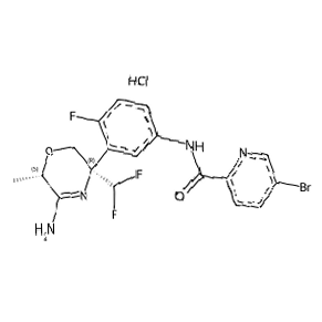 C[C@@H]1OC[C@](c2cc(NC(=O)c3ccc(Br)cn3)ccc2F)(C(F)F)N=C1N.Cl